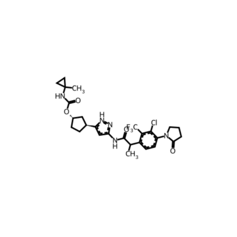 CC(C(=O)Nc1cc([C@H]2CC[C@H](OC(=O)NC3(C)CC3)C2)[nH]n1)c1ccc(N2CCCC2=O)c(Cl)c1C(F)(F)F